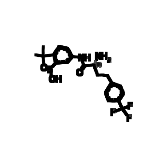 CC1(C)OB(O)c2cc(NC(=O)[C@H](N)CCc3ccc(C(F)(F)F)cc3)ccc21